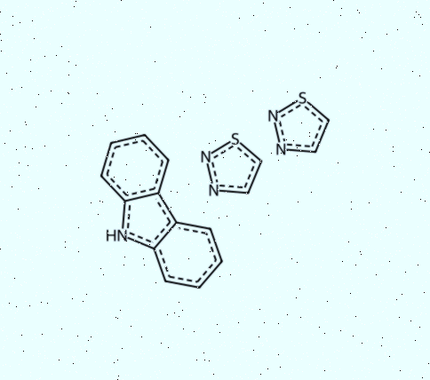 c1ccc2c(c1)[nH]c1ccccc12.c1csnn1.c1csnn1